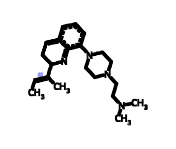 C/C=C(\C)C1CC=c2cccc(N3CCN(CCN(C)C)CC3)c2=N1